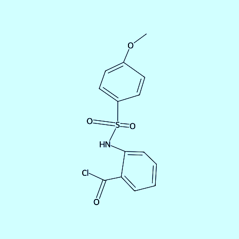 COc1ccc(S(=O)(=O)Nc2ccccc2C(=O)Cl)cc1